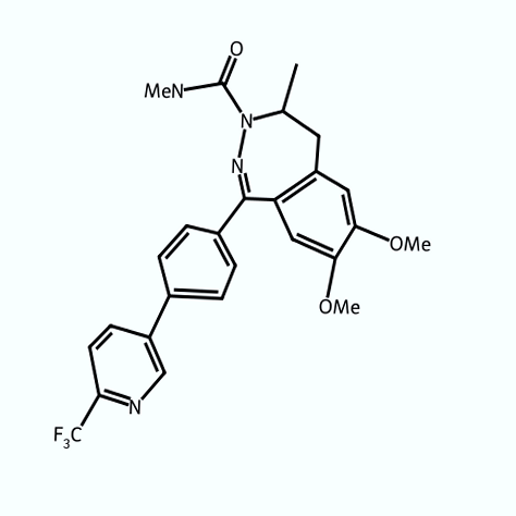 CNC(=O)N1N=C(c2ccc(-c3ccc(C(F)(F)F)nc3)cc2)c2cc(OC)c(OC)cc2CC1C